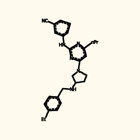 CCCc1cc(N2CCC(NCc3ccc(CC)cc3)C2)nc(Nc2cccc(C#N)c2)n1